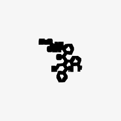 COC(=O)NNc1ccccc1C(=O)c1c(CBr)c(-c2ccccc2)nc2c(F)cccc12